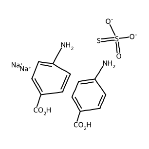 Nc1ccc(C(=O)O)cc1.Nc1ccc(C(=O)O)cc1.O=S([O-])([O-])=S.[Na+].[Na+]